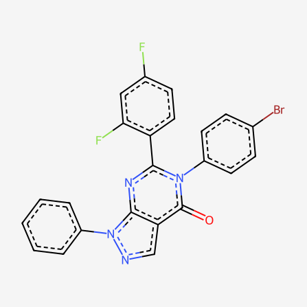 O=c1c2cnn(-c3ccccc3)c2nc(-c2ccc(F)cc2F)n1-c1ccc(Br)cc1